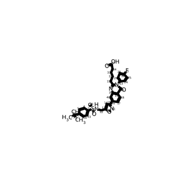 CC(C)(C)c1ccc(S(=O)(=O)NCc2cc(-c3ccc4c(=O)n(-c5ccc(F)cc5)c(CCCCC(=O)O)nc4c3)no2)cc1